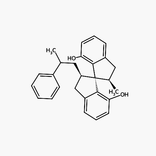 CC(C[C@@H]1Cc2cccc(O)c2[C@@]12c1c(O)cccc1C[C@H]2C)c1ccccc1